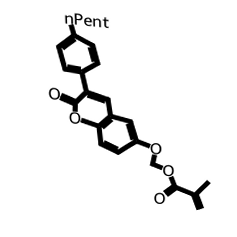 C=C(C)C(=O)OCOc1ccc2oc(=O)c(-c3ccc(CCCCC)cc3)cc2c1